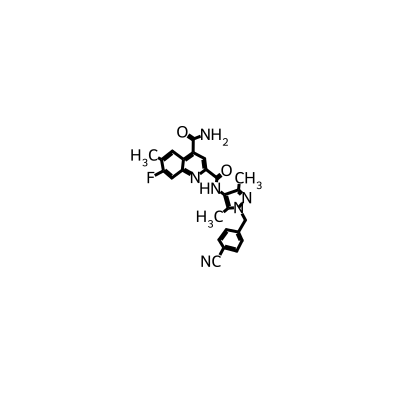 Cc1cc2c(C(N)=O)cc(C(=O)Nc3c(C)nn(Cc4ccc(C#N)cc4)c3C)nc2cc1F